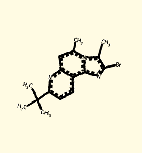 Cc1cc2nc(C(C)(C)C)ccc2c2nc(Br)c(C)n12